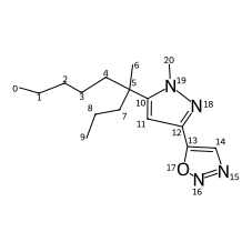 CCCCCC(C)(CCC)c1cc(-c2cnno2)nn1C